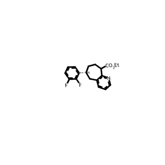 CCOC(=O)C1CC[C@@H](c2cccc(F)c2F)Cc2cccnc21